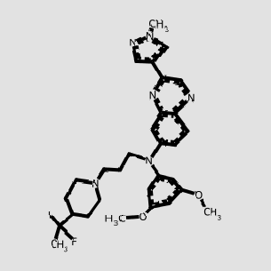 COc1cc(OC)cc(N(CCCN2CCC(C(C)(F)I)CC2)c2ccc3ncc(-c4cnn(C)c4)nc3c2)c1